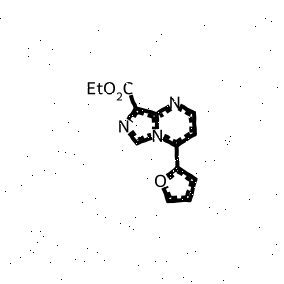 CCOC(=O)c1ncn2c(-c3ccco3)ccnc12